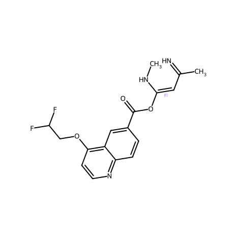 CN/C(=C\C(C)=N)OC(=O)c1ccc2nccc(OCC(F)F)c2c1